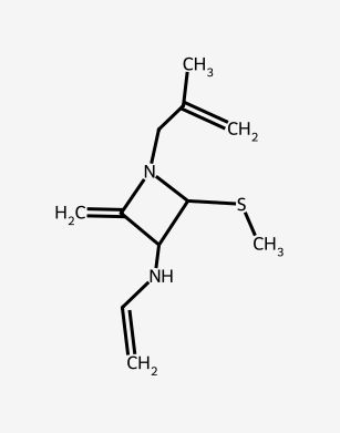 C=CNC1C(=C)N(CC(=C)C)C1SC